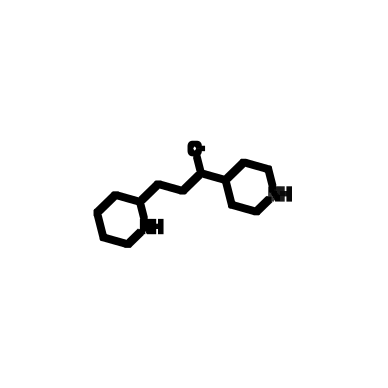 [O]C(CCC1CCCCN1)C1CCNCC1